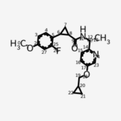 COc1ccc(C2CC2C(=O)N[C@H](C)c2ccc(OCC3CC3)cn2)c(F)c1